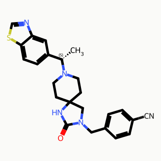 C[C@@H](c1ccc2scnc2c1)N1CCC2(CC1)CN(Cc1ccc(C#N)cc1)C(=O)N2